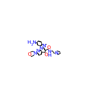 Cn1c2ccc(N)cc2n2c3nc(N4CCOCC4)ccc3c(=O)c(C(=O)NCCN3CCCC3)c12